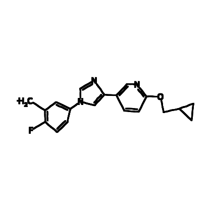 [CH2]c1cc(-n2cnc(-c3ccc(OCC4CC4)nc3)c2)ccc1F